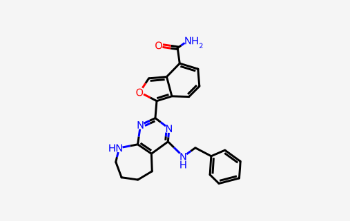 NC(=O)c1cccc2c(-c3nc4c(c(NCc5ccccc5)n3)CCCCN4)occ12